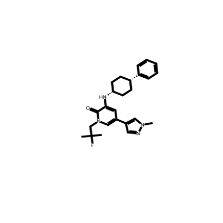 Cn1cc(-c2cc(N[C@H]3CC[C@@H](c4ccccc4)CC3)c(=O)n(CC(C)(C)F)c2)cn1